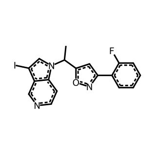 CC(c1cc(-c2ccccc2F)no1)n1cc(I)c2cnccc21